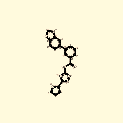 O=C(Nc1nnc(-c2ccco2)o1)c1cccc(-c2ccc3scnc3c2)c1